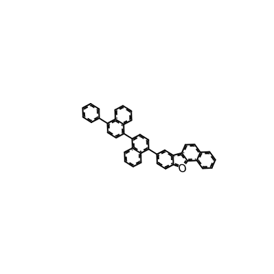 c1ccc(-c2ccc(-c3ccc(-c4ccc5oc6c7ccccc7ccc6c5c4)c4ccccc34)c3ccccc23)cc1